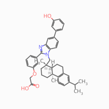 CC(C)c1ccc2c(c1)CC[C@H]1[C@@](C)(Cn3c(-c4cccc(OCC(=O)O)c4)nc4cc(-c5cccc(O)c5)ccc43)CCC[C@]21C